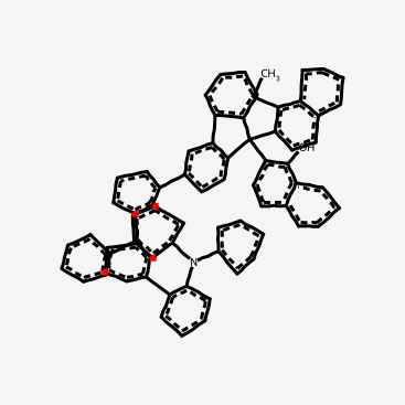 CCc1c(C2(c3ccc4ccccc4c3O)c3ccccc3-c3cc(-c4cccc(-c5cccc(-c6ccccc6N(c6ccccc6)c6cccc(-c7ccccc7)c6)c5)c4)ccc32)ccc2ccccc12